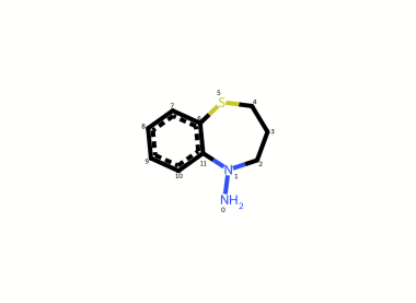 NN1CCCSc2ccccc21